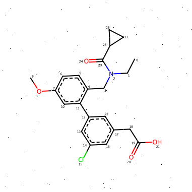 CCN(Cc1ccc(OC)cc1-c1cc(Cl)cc(CC(=O)O)c1)C(=O)C1CC1